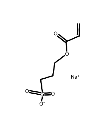 C=CC(=O)OCCCS(=O)(=O)[O-].[Na+]